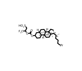 CC(C)CCC[C@@H](C)[C@H]1CC[C@H]2[C@@H]3CC[C@H]4CC(OC(=O)OC(CS(=O)(=O)O)C(F)(F)F)CC[C@]4(C)[C@H]3CC[C@]12C